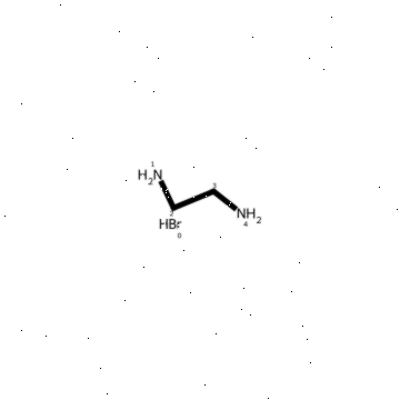 Br.NCCN